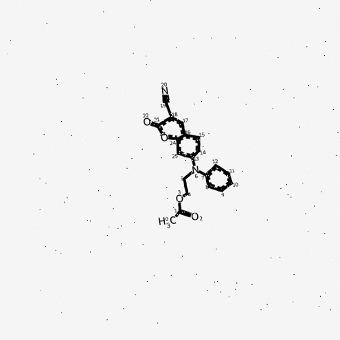 CC(=O)OCCN(c1ccccc1)c1ccc2cc(C#N)c(=O)oc2c1